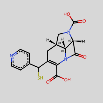 O=C(O)C1=C(C(S)c2ccncc2)C[C@@H]2CN(C(=O)O)[C@@H]3C(=O)N1[C@H]23